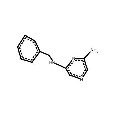 Nc1cncc(NCc2ccccc2)n1